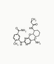 C=CC(=O)NC1CCCCC1Oc1nc(Nc2cc(C(N)=O)ccc2C)ncc1C(N)=O